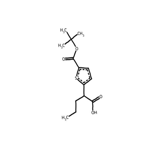 CCCC(C(=O)O)c1ccc(C(=O)OC(C)(C)C)s1